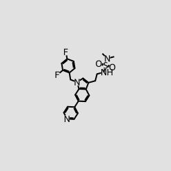 CN(C)S(=O)(=O)NCCc1cn(Cc2ccc(F)cc2F)c2cc(-c3ccncc3)ccc12